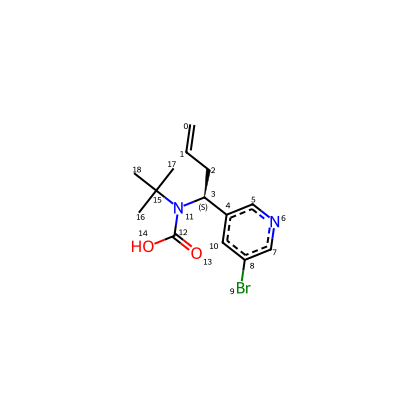 C=CC[C@@H](c1cncc(Br)c1)N(C(=O)O)C(C)(C)C